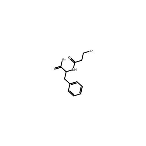 CC(=O)CCC(=O)NC(Cc1ccccc1)C(=O)C(C)C